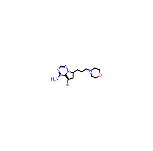 NC1=NC=NN2C1=C(Br)CC2CCCN1CCOCC1